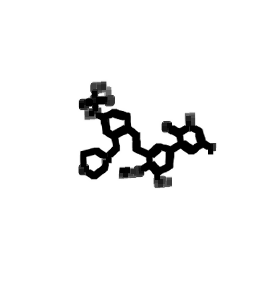 COc1c(C=Cc2ccc(NS(C)(=O)=O)cc2CN2CCOCC2)cc(-c2cc(F)c[nH]c2=O)cc1C(C)(C)C